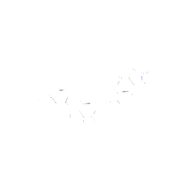 O=C(NCc1ccc([S+]([O-])c2cc(F)cc(F)c2)cn1)c1cnc2[nH]ncc2c1